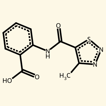 Cc1nnsc1C(=O)Nc1ccccc1C(=O)O